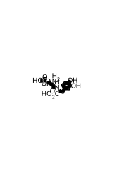 NC(COP(=O)(O)O)C(=O)NC(Cc1ccc(O)c(O)c1)C(=O)O